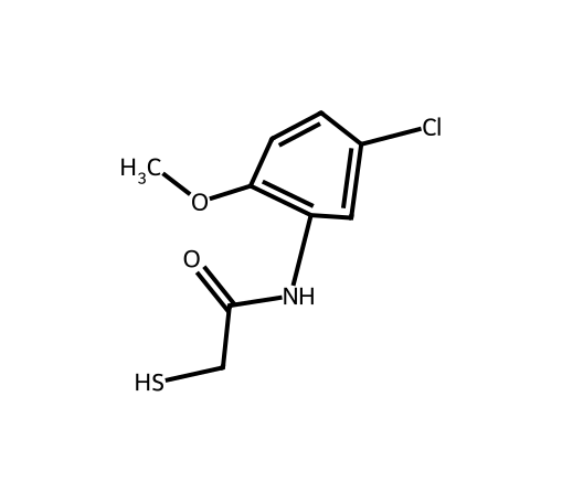 COc1ccc(Cl)cc1NC(=O)CS